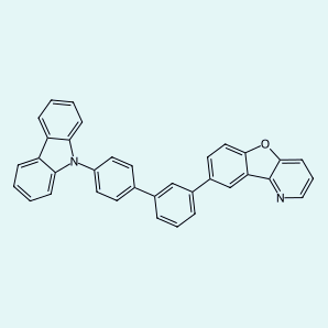 c1cc(-c2ccc(-n3c4ccccc4c4ccccc43)cc2)cc(-c2ccc3oc4cccnc4c3c2)c1